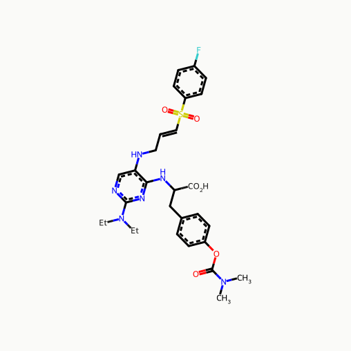 CCN(CC)c1ncc(NCC=CS(=O)(=O)c2ccc(F)cc2)c(NC(Cc2ccc(OC(=O)N(C)C)cc2)C(=O)O)n1